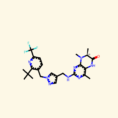 Cc1nc(NCc2cnn(Cc3ccc(C(F)(F)F)nc3C(C)(C)C)c2)nc2c1NC(=O)[C@H](C)N2C